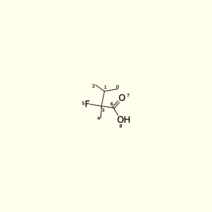 CC(C)C(C)(F)C(=O)O